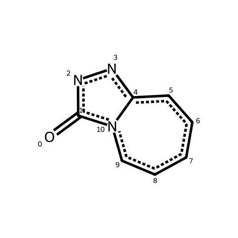 O=c1nnc2cccccn1-2